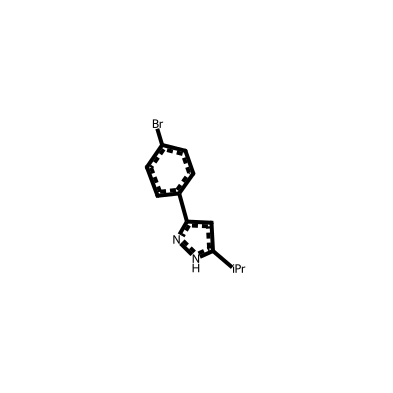 CC(C)c1cc(-c2ccc(Br)cc2)n[nH]1